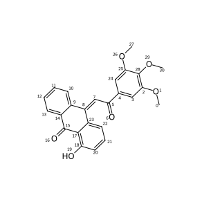 COc1cc(C(=O)C=C2c3ccccc3C(=O)c3c(O)cccc32)cc(OC)c1OC